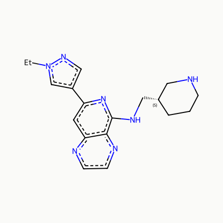 CCn1cc(-c2cc3nccnc3c(NC[C@H]3CCCNC3)n2)cn1